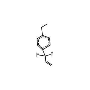 C=CC(F)(F)c1ccc(CC)cc1